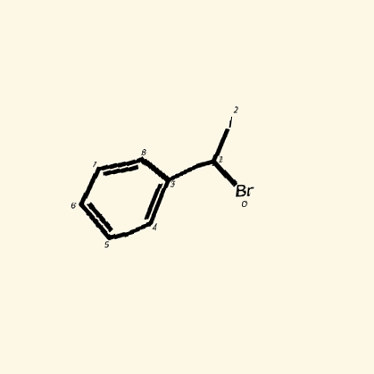 Br[C](I)c1ccccc1